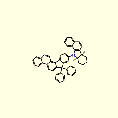 CC12CCCCC1(C)N(c1ccc3c(c1)C(c1ccccc1)(c1ccccc1)c1ccc4c(ccc5ccccc54)c1-3)c1c2ccc2ccccc12